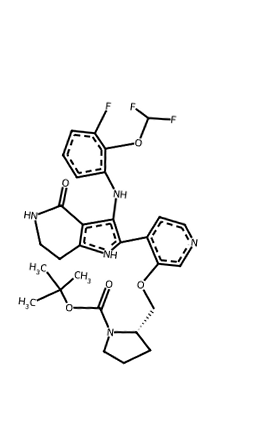 CC(C)(C)OC(=O)N1CCC[C@H]1COc1cnccc1-c1[nH]c2c(c1Nc1cccc(F)c1OC(F)F)C(=O)NCC2